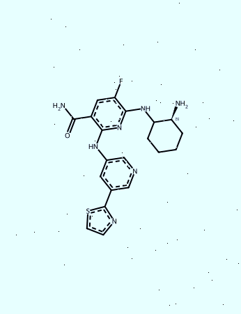 NC(=O)c1cc(F)c(NC2CCCC[C@@H]2N)nc1Nc1cncc(-c2nccs2)c1